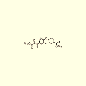 COC(=O)C(=O)Nc1cnc(OC2CCC(C(=O)OC)CC2)c(C)c1